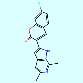 Cc1cc2cc(-c3cc4ccc(F)cc4oc3=O)[nH]c2c(C)n1